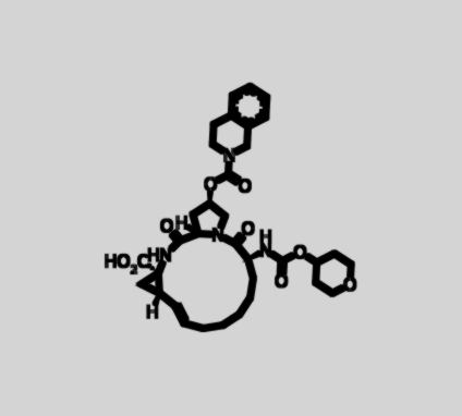 O=C(N[C@H]1CCCCC/C=C/[C@@H]2C[C@@]2(C(=O)O)NC(=O)[C@@H]2C[C@@H](OC(=O)N3CCc4ccccc4C3)CN2C1=O)OC1CCOCC1